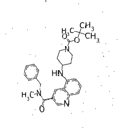 CN(Cc1ccccc1)C(=O)c1cnc2cccc(NC3CCN(C(=O)OC(C)(C)C)CC3)c2c1